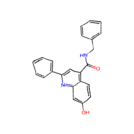 O=C(NCc1ccccc1)c1cc(-c2ccccc2)nc2cc(O)ccc12